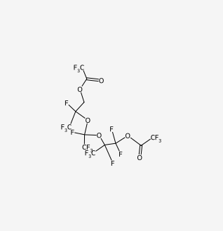 O=C(OCC(F)(OC(F)(OC(F)(C(F)(F)F)C(F)(F)OC(=O)C(F)(F)F)C(F)(F)F)C(F)(F)F)C(F)(F)F